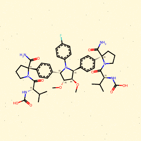 CO[C@H]1[C@H](OC)[C@H](c2ccc([C@]3(C(N)=O)CCCN3C(=O)[C@@H](NC(=O)O)C(C)C)cc2)N(c2ccc(F)cc2)[C@H]1c1ccc([C@]2(C(N)=O)CCCN2C(=O)[C@@H](NC(=O)O)C(C)C)cc1